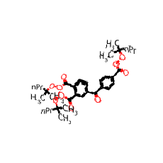 CCCC(C)(C)OOC(=O)c1ccc(C(=O)c2ccc(C(=O)OOC(C)(C)CCC)c(C(=O)OOC(C)(C)CCC)c2)cc1